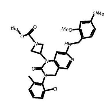 COc1ccc(CNc2cc3c(cn2)CN(c2c(C)cccc2Cl)C(=O)N3C2CN(C(=O)OC(C)(C)C)C2)c(OC)c1